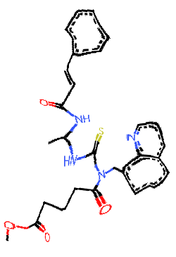 COC(=O)CCCC(=O)N(C(=S)NC(C)NC(=O)/C=C/c1ccccc1)c1cccc2cccnc12